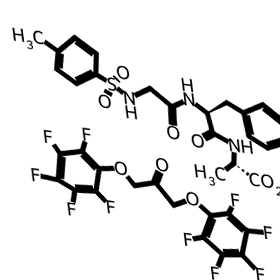 Cc1ccc(S(=O)(=O)NCC(=O)N[C@@H](Cc2ccccc2)C(=O)N[C@@H](C)C(=O)O)cc1.O=C(COc1c(F)c(F)c(F)c(F)c1F)COc1c(F)c(F)c(F)c(F)c1F